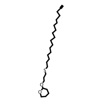 C#CCCCCCCCCCCCCCCCCSCCCOC1CCCCO1